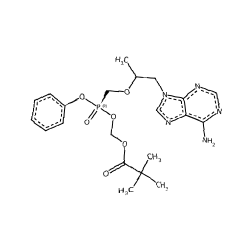 CC(Cn1cnc2c(N)ncnc21)OC[P@](=O)(OCOC(=O)C(C)(C)C)Oc1ccccc1